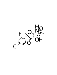 CC1(c2ccc(Cl)cc2F)OC(NS(C)(=O)=O)=C(O)C1=O